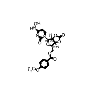 O=C1O[C@@H]2[C@H](O1)[C@@H](COC(=O)c1ccc(OC(F)(F)F)cc1)O[C@H]2n1ccc(NO)nc1=O